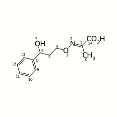 CC(=NOCCC(O)c1ccccc1)C(=O)O